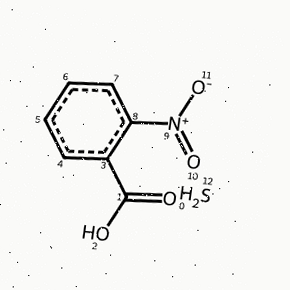 O=C(O)c1ccccc1[N+](=O)[O-].S